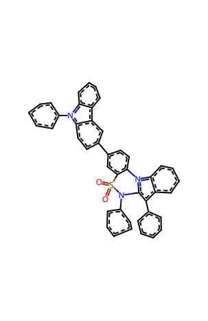 O=S1(=O)c2cc(-c3ccc4c(c3)c3ccccc3n4-c3ccccc3)ccc2-n2c(c(-c3ccccc3)c3ccccc32)N1c1ccccc1